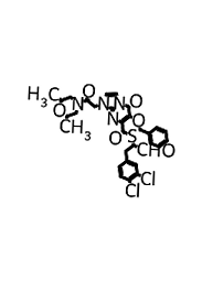 CC1CN(C(=O)Cn2ccn3c(=O)c(OCc4ccccc4)c(C(=O)SC(C=O)Cc4ccc(Cl)c(Cl)c4)nc23)CC(C)O1